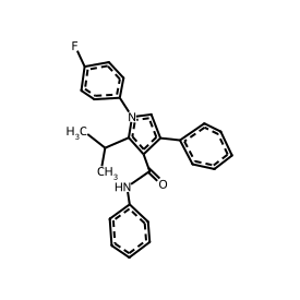 CC(C)c1c(C(=O)Nc2ccccc2)c(-c2ccccc2)cn1-c1ccc(F)cc1